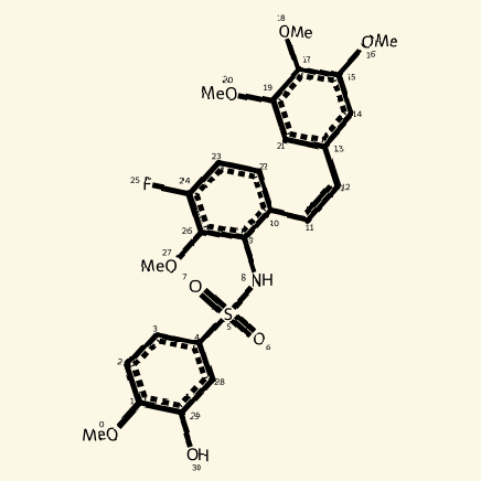 COc1ccc(S(=O)(=O)Nc2c(/C=C\c3cc(OC)c(OC)c(OC)c3)ccc(F)c2OC)cc1O